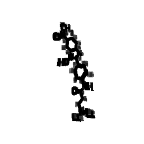 CCN(CC)CCC(=O)Nc1ccc(-c2nc3ccc([N+](C)=O)cc3n2O)cc1